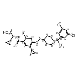 O=C(NC(C(=O)O)C1CC1)c1cc(C2CC2)c(OCC2CCN(C(c3cc(Cl)cc(Cl)c3)C(F)(F)F)CC2)cc1F